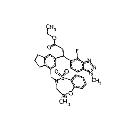 CCOC(=O)CC(c1cc2c(c(CN3C[C@@H](C)Oc4ccccc4S3(=O)=O)c1)CCC2)c1ccc2c(nnn2C)c1F